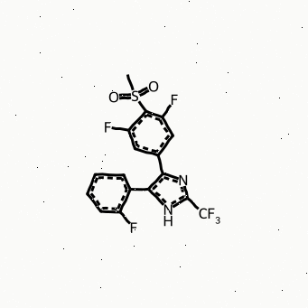 CS(=O)(=O)c1c(F)cc(-c2nc(C(F)(F)F)[nH]c2-c2ccccc2F)cc1F